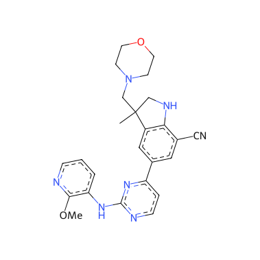 COc1ncccc1Nc1nccc(-c2cc(C#N)c3c(c2)C(C)(CN2CCOCC2)CN3)n1